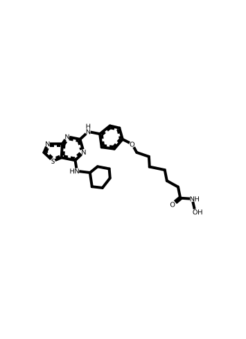 O=C(CCCCCCOc1ccc(Nc2nc(NC3CCCCC3)c3scnc3n2)cc1)NO